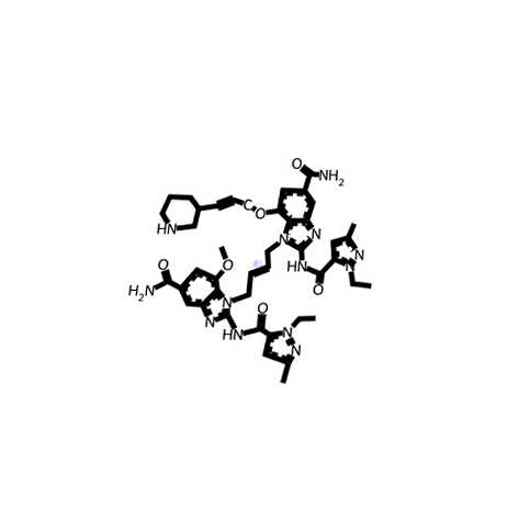 CCn1nc(C)cc1C(=O)Nc1nc2cc(C(N)=O)cc(OC)c2n1C/C=C/Cn1c(NC(=O)c2cc(C)nn2CC)nc2cc(C(N)=O)cc(OCC#CC3CCCNC3)c21